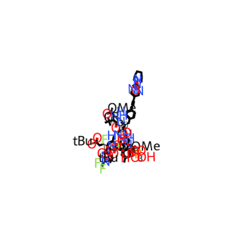 COC(=O)N[C@H](C(=O)N[C@@H](Cc1ccc(C#Cc2cnc(N3CC4CCC(C3)N4C3COC3)nc2)cc1)[C@H](CN(Cc1c(F)cc(-c2ccn(C(F)F)n2)cc1F)NC(=O)[C@@H](NC(=O)OC)C(C)(C)C(F)(F)F)OC(=O)CC(C)(C)c1c(CC(=O)N[C@@H](CCC(=O)OC(C)(C)C)C(=O)OC(C)(C)C)cc(C)cc1OP(=O)(O)O)C(C)(C)C(F)(F)F